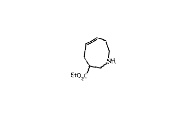 CCOC(=O)C1C/C=C\CCNC1